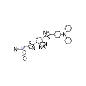 N#C/C(=C/c1cnc(-c2ccc(-c3ncc(-c4ccc(N(c5ccccc5)c5ccccc5)cc4)s3)c3nsnc23)s1)OC=O